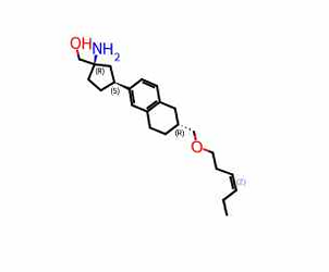 CC/C=C\CCOC[C@@H]1CCc2cc([C@H]3CC[C@](N)(CO)C3)ccc2C1